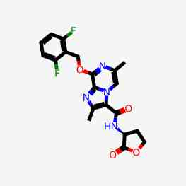 Cc1cn2c(C(=O)N[C@H]3CCOC3=O)c(C)nc2c(OCc2c(F)cccc2F)n1